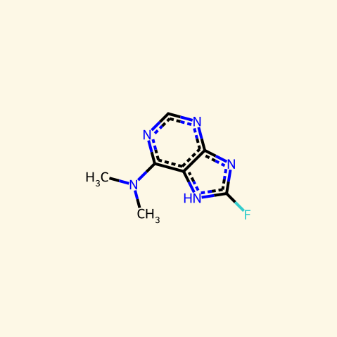 CN(C)c1ncnc2nc(F)[nH]c12